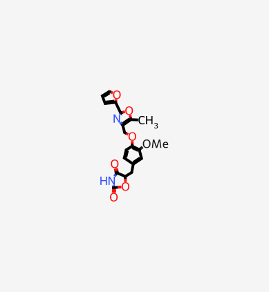 COc1cc(CC2OC(=O)NC2=O)ccc1OCc1nc(-c2ccco2)oc1C